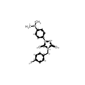 CN(C)c1ccc(-n2sc(=O)n(Cc3ccc(F)cc3)c2=O)cc1